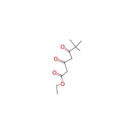 CCOC(=O)CC(=O)CC(=O)C(C)(C)C